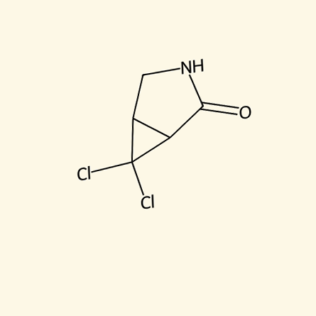 O=C1NCC2C1C2(Cl)Cl